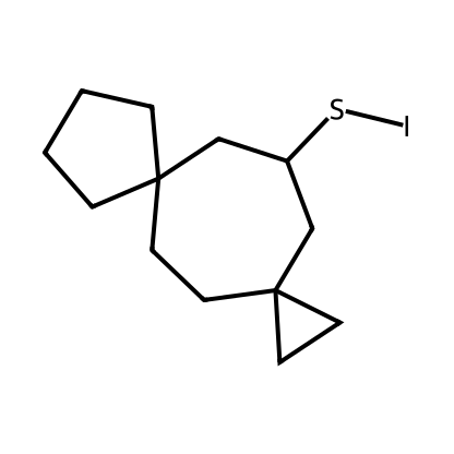 ISC1CC2(CCCC2)CCC2(CC2)C1